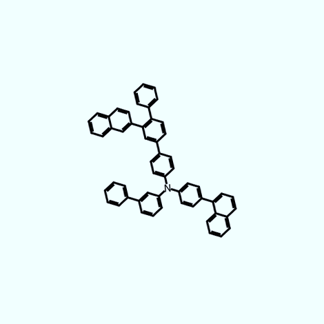 c1ccc(-c2cccc(N(c3ccc(-c4ccc(-c5ccccc5)c(-c5ccc6ccccc6c5)c4)cc3)c3ccc(-c4cccc5ccccc45)cc3)c2)cc1